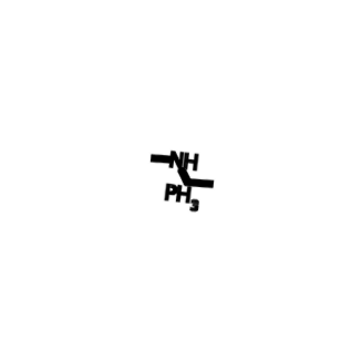 CCNC.P